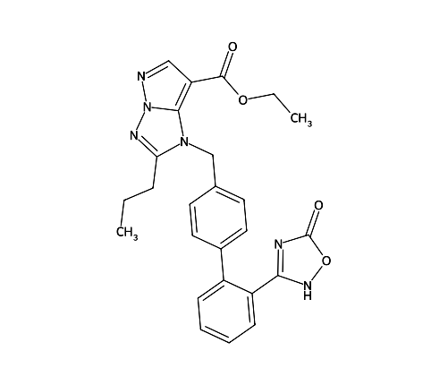 CCCc1nn2ncc(C(=O)OCC)c2n1Cc1ccc(-c2ccccc2-c2nc(=O)o[nH]2)cc1